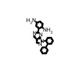 Nc1ccc(N)c(-c2ncc3cnn(-c4ccccc4-c4ccccc4)c3n2)c1